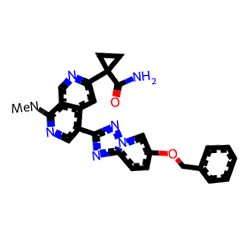 CNc1ncc(-c2nc3ccc(OCc4ccccc4)cn3n2)c2cc(C3(C(N)=O)CC3)ncc12